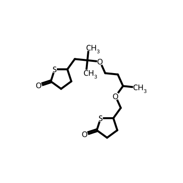 CC(CCOC(C)(C)CC1CCC(=O)S1)OCC1CCC(=O)S1